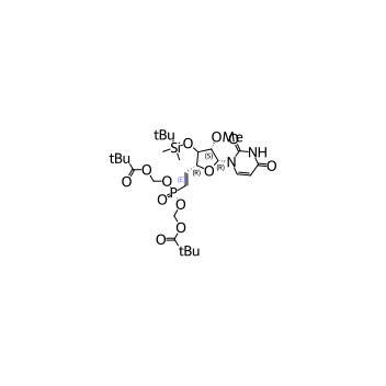 CO[C@H]1C(O[Si](C)(C)C(C)(C)C)[C@@H](/C=C/P(=O)(OCOC(=O)C(C)(C)C)OCOC(=O)C(C)(C)C)O[C@H]1n1ccc(=O)[nH]c1=O